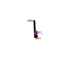 CCCCCCCCCCCCCCCCCCCCCCN(Cc1ccc(O)cc1)C(=O)C(N)=O